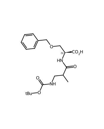 CC(CNC(=O)OC(C)(C)C)C(=O)N[C@@H](COCc1ccccc1)C(=O)O